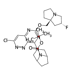 CC(C)(C)OC(=O)N1C2CCC1CN(c1nc(OC[C@@]34CCCN3C[C@H](F)C4)nc3cc(Cl)nnc13)C2